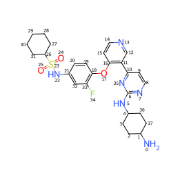 NC1CCC(Nc2nccc(-c3cnccc3Oc3ccc(NS(=O)(=O)C4CCCCC4)cc3F)n2)CC1